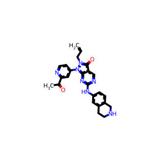 C=CCn1c(=O)c2cnc(Nc3ccc4c(c3)CCNC4)nc2n1-c1ccnc(C(C)=O)c1